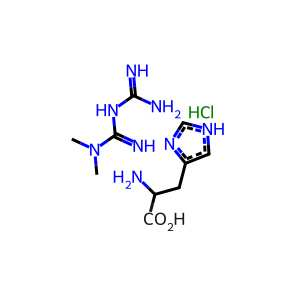 CN(C)C(=N)NC(=N)N.Cl.NC(Cc1c[nH]cn1)C(=O)O